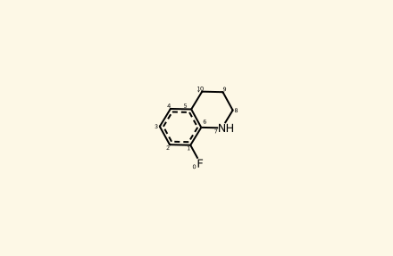 Fc1cccc2c1NCC[CH]2